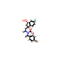 CC1CC(CCO)(c2ccc(F)cc2)OC(=O)N1C(C)c1ccc(Br)cc1